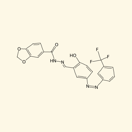 O=C(N/N=C/c1cc(/N=N\c2cccc(C(F)(F)F)c2)ccc1O)c1ccc2c(c1)OCO2